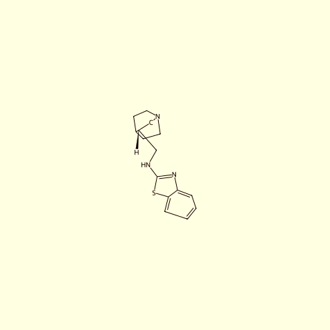 c1ccc2sc(NC[C@H]3CN4CCC3CC4)nc2c1